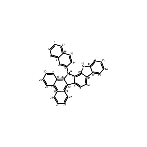 c1ccc2cc(-n3c4c(ccc5c6ccccc6sc54)c4c5ccccc5c5ccccc5c43)ccc2c1